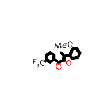 COc1cccc2oc(C(=O)c3cccc(C(F)(F)F)c3)c(C)c12